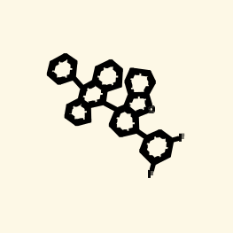 Fc1cc(F)cc(-c2ccc(-c3c4ccccc4c(-c4ccccc4)c4ccccc34)c3c2oc2ccccc23)c1